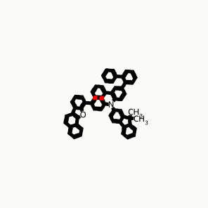 CC1(C)c2ccccc2-c2ccc(N(c3ccc(-c4cccc5c4oc4c6ccccc6ccc54)cc3)c3ccc(-c4ccccc4-c4ccccc4)cc3-c3ccccc3)cc21